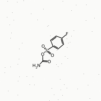 NC(=O)OS(=O)(=O)c1ccc(F)cc1